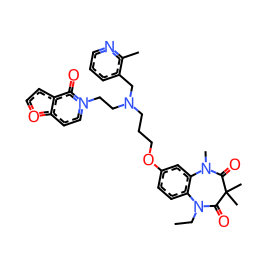 CCN1C(=O)C(C)(C)C(=O)N(C)c2cc(OCCCN(CCn3ccc4occc4c3=O)Cc3cccnc3C)ccc21